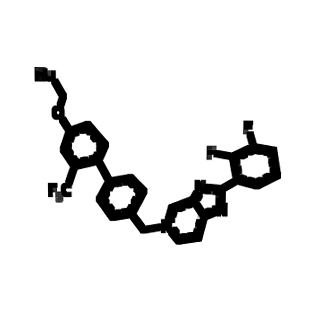 CCC(C)COc1ccc(-c2ccc(Cn3ccc4nc(-c5cccc(F)c5F)nc-4c3)cc2)c(C(F)(F)F)c1